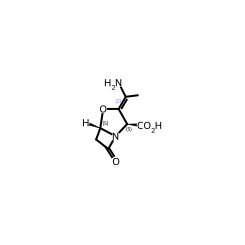 C/C(N)=C1/O[C@H]2CC(=O)N2[C@@H]1C(=O)O